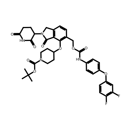 CC(C)(C)OC(=O)N1CCC(Oc2c(COC(=O)Nc3ccc(Oc4ccc(F)c(F)c4)cc3)ccc3c2C(=O)N(C2CCC(=O)NC2=O)C3)CC1